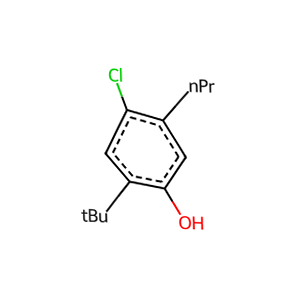 CCCc1cc(O)c(C(C)(C)C)cc1Cl